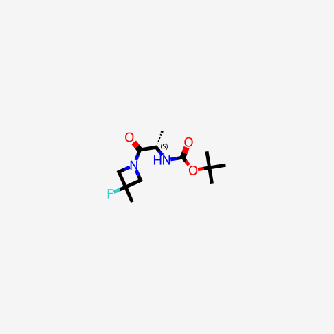 C[C@H](NC(=O)OC(C)(C)C)C(=O)N1CC(C)(F)C1